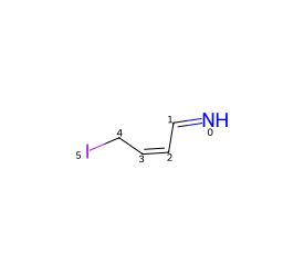 N=C/C=C\CI